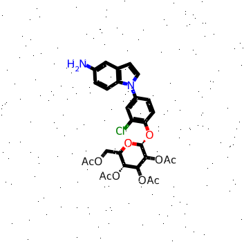 CC(=O)OCC1O[C@H](Oc2ccc(-n3ccc4cc(N)ccc43)cc2Cl)C(OC(C)=O)C(OC(C)=O)[C@@H]1OC(C)=O